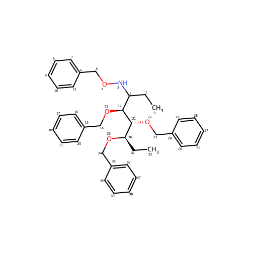 CCC(NOCc1ccccc1)[C@H](OCc1ccccc1)[C@H](OCc1ccccc1)[C@@H](CC)OCc1ccccc1